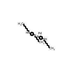 CCCCCCCCNc1ccc(N=CC(CCCC)=Nc2ccc(NCCCCCCCC)cc2)cc1.[Pd]